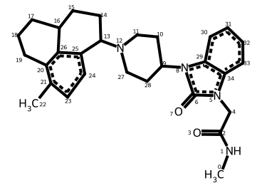 CNC(=O)Cn1c(=O)n(C2CCN(C3CCC4CCCc5c(C)ccc3c54)CC2)c2ccccc21